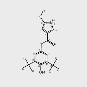 CSc1cc(C(=O)Cc2cc(C(C)(C)C)c(O)c(C(C)(C)C)c2)c[nH]1